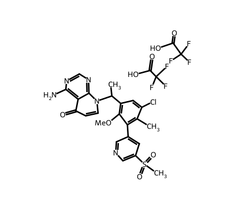 COc1c(C(C)n2ccc(=O)c3c(N)ncnc32)cc(Cl)c(C)c1-c1cncc(S(C)(=O)=O)c1.O=C(O)C(F)(F)F.O=C(O)C(F)(F)F